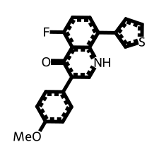 COc1ccc(-c2c[nH]c3c(-c4ccsc4)ccc(F)c3c2=O)cc1